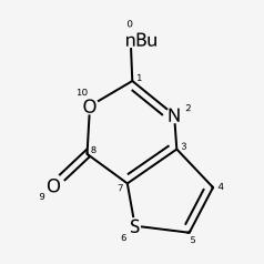 CCCCc1nc2ccsc2c(=O)o1